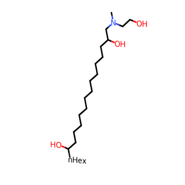 CCCCCCC(O)CCCCCCCCCCCCC(O)CN(C)CCO